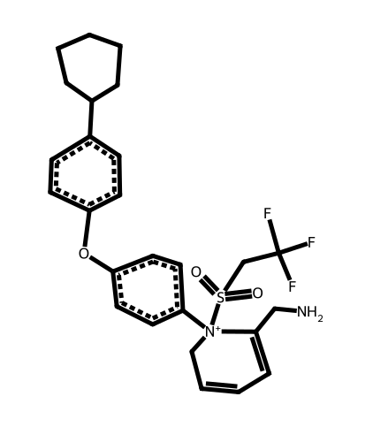 NCC1=CC=CC[N+]1(c1ccc(Oc2ccc(C3CCCCC3)cc2)cc1)S(=O)(=O)CC(F)(F)F